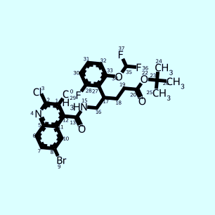 Cc1c(Cl)nc2ccc(Br)cc2c1C(=O)NCC(CCC(=O)OC(C)(C)C)c1c(F)cccc1OC(F)F